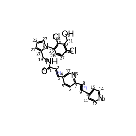 O=C(/C=C/c1ccc(/C=C/c2ccncc2)nc1)NCc1cccn1-c1ccc(Cl)c(CO)c1Cl